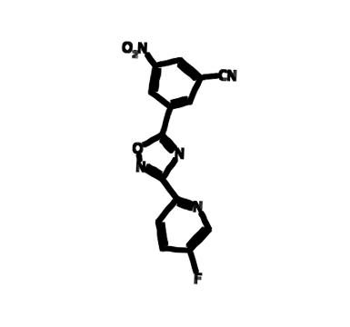 N#Cc1cc(-c2nc(-c3ccc(F)cn3)no2)cc([N+](=O)[O-])c1